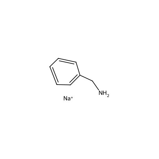 NCc1ccccc1.[Na+]